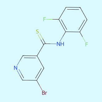 Fc1cccc(F)c1NC(=S)c1cncc(Br)c1